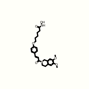 COc1cc2c(cc1OC)CN(C(=O)C=Cc1ccc(OCCCCCC(=O)NO)cc1)CC2